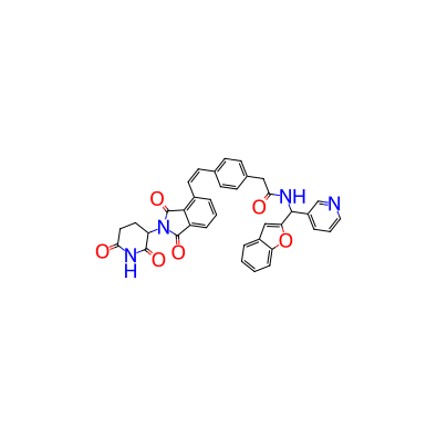 O=C1CCC(N2C(=O)c3cccc(/C=C\c4ccc(CC(=O)NC(c5cccnc5)c5cc6ccccc6o5)cc4)c3C2=O)C(=O)N1